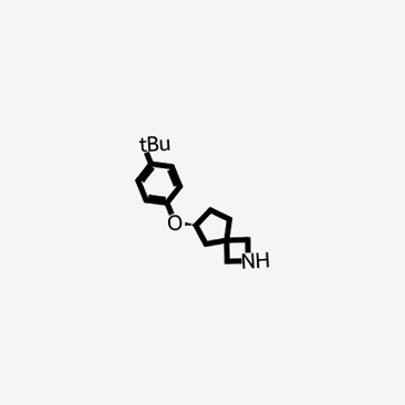 CC(C)(C)c1ccc(O[C@@H]2CCC3(CNC3)C2)cc1